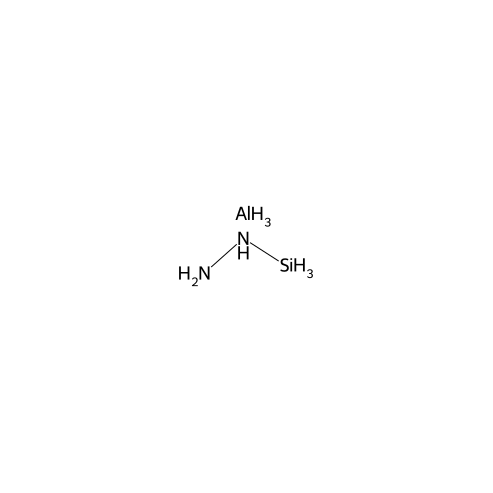 NN[SiH3].[AlH3]